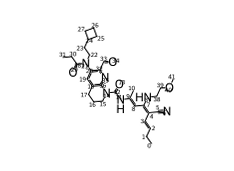 CC/C=C/C(C#N)=C(\C=C(/C)NC(=O)N1CCCc2cc(N(CCC3CCC3)C(=O)CC)c(C=O)nc21)NCCOC